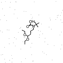 CCOC(CCCN(C(=O)O)C(C)(C)C)OCC